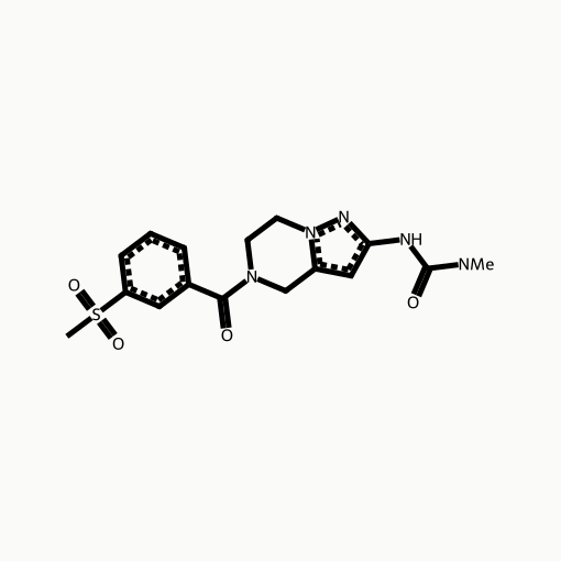 CNC(=O)Nc1cc2n(n1)CCN(C(=O)c1cccc(S(C)(=O)=O)c1)C2